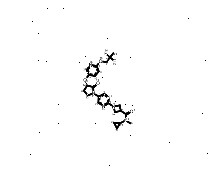 CN(C(=O)C1CN(c2ncc(N3CC[C@@H](Oc4ccc(OCC(C)(F)F)nc4)C3=O)cn2)C1)C1CC1